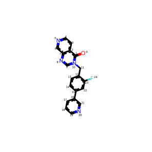 O=c1c2ccncc2ncn1Cc1ccc(-c2cccnc2)cc1F